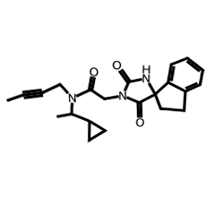 CC#CCN(C(=O)CN1C(=O)NC2(CCc3ccccc32)C1=O)C(C)C1CC1